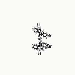 Brc1ccc2c(c1)cc1[nH]c3ccccc3c1[n+]2CCCCC[n+]1c2ccc(Br)cc2cc2[nH]c3ccccc3c21